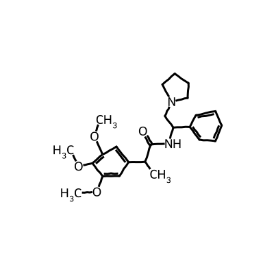 COc1cc(C(C)C(=O)NC(CN2CCCC2)c2ccccc2)cc(OC)c1OC